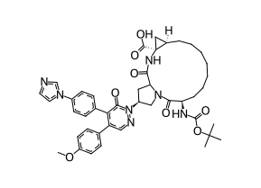 COc1ccc(-c2cnn([C@H]3CC4C(=O)N[C@@]5(C(=O)O)C[C@H]5CCCCCCC[C@@H](NC(=O)OC(C)(C)C)C(=O)N4C3)c(=O)c2-c2ccc(-n3ccnc3)cc2)cc1